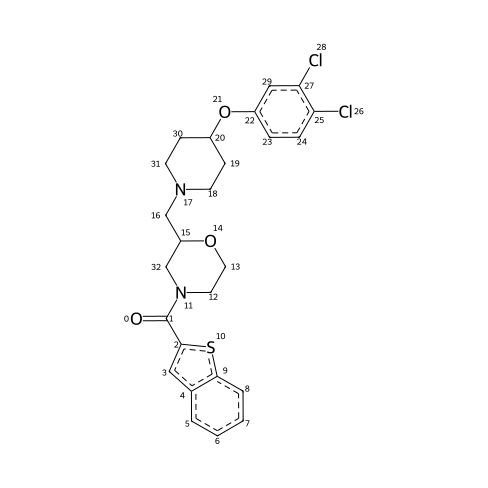 O=C(c1cc2ccccc2s1)N1CCOC(CN2CCC(Oc3ccc(Cl)c(Cl)c3)CC2)C1